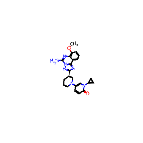 COc1cccc2c1nc(N)n1nc([C@@H]3CCCN(c4ccc(=O)n(C5CC5)c4)C3)nc21